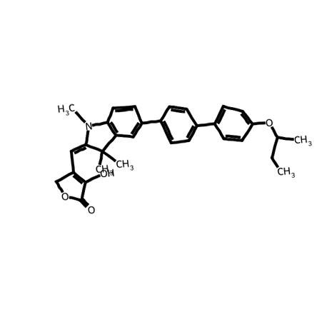 CCC(C)Oc1ccc(-c2ccc(-c3ccc4c(c3)C(C)(C)/C(=C\C3=C(O)C(=O)OC3)N4C)cc2)cc1